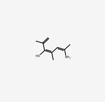 C=C(C)/C(O)=C(C)\C=C(\C)N